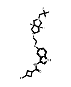 O=C(Nc1c[nH]c2ccc(OCC[C@@H]3C[C@@H]4CN(CC(F)(F)F)C[C@@H]4C3)cc12)C1CC(Cl)C1